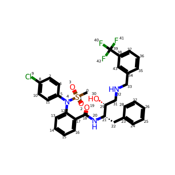 CS(=O)(=O)N(c1ccc(Cl)cc1)c1ccccc1C(=O)N[C@@H](Cc1ccccc1)[C@H](O)CNCc1cccc(C(F)(F)F)c1